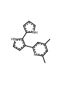 Cc1cc(C)nc(-c2cc[nH]c2-c2ccc[nH]2)c1